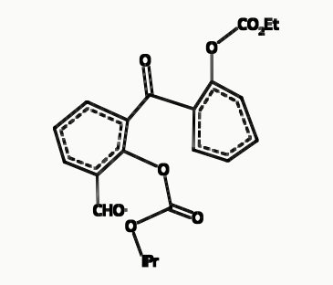 CCOC(=O)Oc1ccccc1C(=O)c1cccc([C]=O)c1OC(=O)OC(C)C